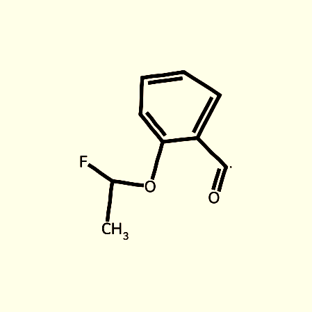 CC(F)Oc1ccccc1[C]=O